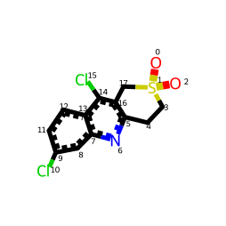 O=S1(=O)CCc2nc3cc(Cl)ccc3c(Cl)c2C1